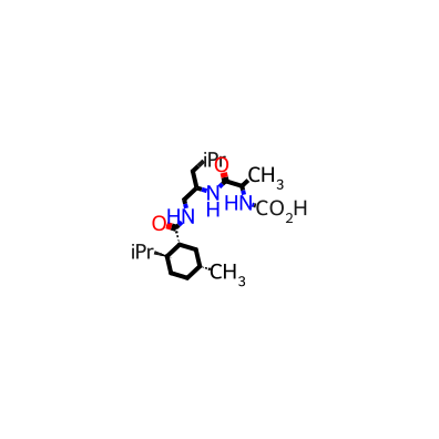 CC(C)CC(CNC(=O)[C@@H]1C[C@H](C)CC[C@H]1C(C)C)NC(=O)C(C)NC(=O)O